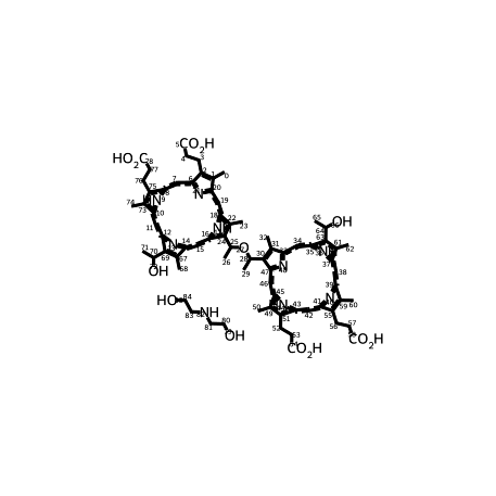 CC1=C(CCC(=O)O)c2cc3[nH]c(cc4nc(cc5[nH]c(cc1n2)c(C)c5C(C)OC(C)C1=C(C)c2cc5[nH]c(cc6nc(cc7[nH]c(cc1n2)c(C)c7CCC(=O)O)C(CCC(=O)O)=C6C)c(C)c5C(C)O)C(C)=C4C(C)O)c(C)c3CCC(=O)O.OCCNCCO